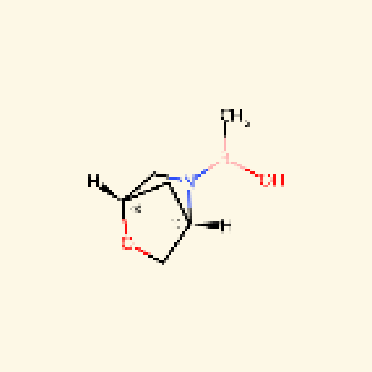 CB(O)N1C[C@@H]2C[C@H]1CO2